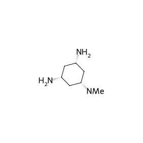 CN[C@@H]1C[C@H](N)C[C@H](N)C1